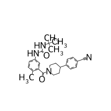 Cc1ccc(NC(=O)NC(C)(C)C)cc1C(=O)N1CCC(c2ccc(C#N)cc2)CC1